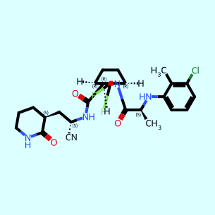 Cc1c(Cl)cccc1N[C@@H](C)C(=O)N1[C@@H]2CC[C@H]([C@@H]1C(=O)N[C@H](C#N)C[C@@H]1CCCNC1=O)C(F)(F)C2